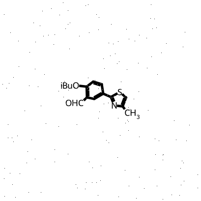 Cc1csc(-c2ccc(OCC(C)C)c(C=O)c2)n1